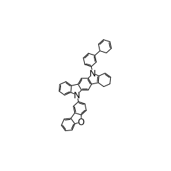 C1=CCC(c2cccc(-n3c4c(c5cc6c(cc53)c3ccccc3n6-c3ccc5oc6ccccc6c5c3)CCC=C4)c2)C=C1